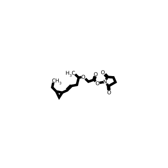 CCC1CC1/C=C/CC(C)OCC(=O)ON1C(=O)CCC1=O